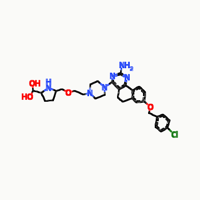 Nc1nc2c(c(N3CCN(CCOCC4CCC(C(O)O)N4)CC3)n1)CCc1cc(OCc3ccc(Cl)cc3)ccc1-2